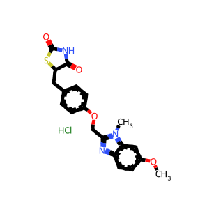 COc1ccc2nc(COc3ccc(CC4SC(=O)NC4=O)cc3)n(C)c2c1.Cl